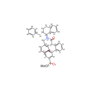 COC(=O)c1cccc(-c2ccccc2CC(=O)N(Cc2ccccc2)[C@@H]2c3ccccc3CC[C@H]2Cc2ccccc2)c1